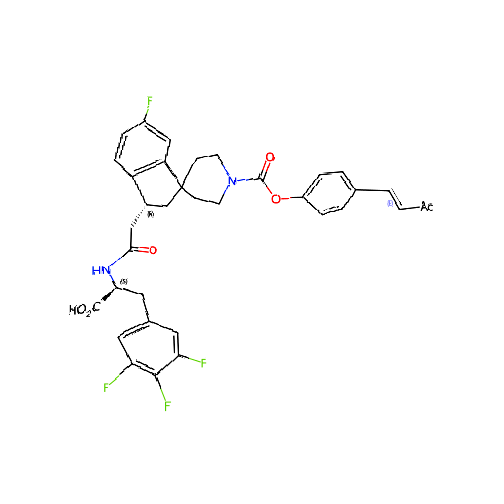 CC(=O)/C=C/c1ccc(OC(=O)N2CCC3(CC2)C[C@H](CC(=O)N[C@@H](Cc2cc(F)c(F)c(F)c2)C(=O)O)c2ccc(F)cc23)cc1